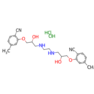 Cc1ccc(C#N)c(OCC(O)CNCCNCC(O)COc2cc(C)ccc2C#N)c1.Cl.Cl